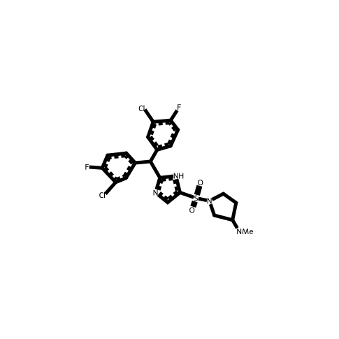 CNC1CCN(S(=O)(=O)c2cnc(C(c3ccc(F)c(Cl)c3)c3ccc(F)c(Cl)c3)[nH]2)C1